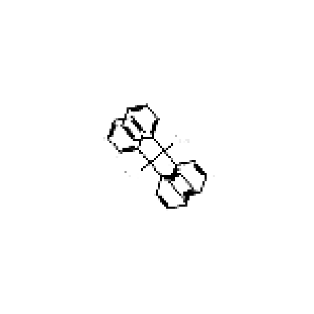 [Na][C](c1ccccc1)(c1ccccc1)[C]([Na])(c1ccccc1)c1ccccc1